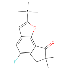 CC1(C)Cc2c(F)cc3cc([Si](C)(C)C)oc3c2C1=O